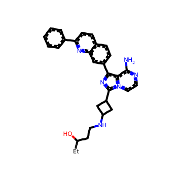 CCC(O)CCNC1CC(c2nc(-c3ccc4ccc(-c5ccccc5)nc4c3)c3c(N)nccn23)C1